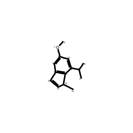 COc1cc2c(c(C(C)C)c1)C(C)C=C2